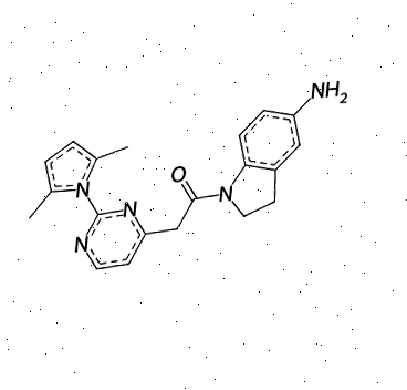 Cc1ccc(C)n1-c1nccc(CC(=O)N2CCc3cc(N)ccc32)n1